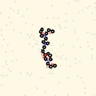 C1=CC2c3cc(-c4ccc(-n5c6ccccc6c6c(-c7cccc(N(c8ccc(-c9cccc%10c9oc9ccccc9%10)cc8)c8cccc9c8oc8c%10ccccc%10ccc98)c7)cccc65)cc4)ccc3OC2c2oc3ccc(N(c4ccc5oc6ccc7c8ccccc8oc7c6c5c4)c4cccc5c4oc4c6ccccc6ccc54)cc3c21